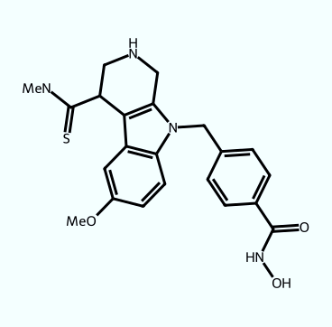 CNC(=S)C1CNCc2c1c1cc(OC)ccc1n2Cc1ccc(C(=O)NO)cc1